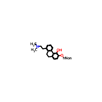 CCCCCCCCCOc1ccc2c(c1O)-c1cccc(CCN(C)C)c1CC2